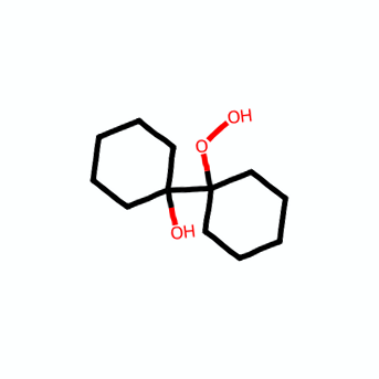 OOC1(C2(O)CCCCC2)CCCCC1